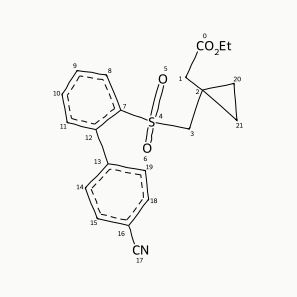 CCOC(=O)CC1(CS(=O)(=O)c2ccccc2-c2ccc(C#N)cc2)CC1